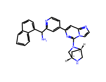 NC(c1cc(-c2cc3nccn3c(N3C[C@@H]4C[C@H]3CN4)n2)ccn1)c1cccc2ccccc12